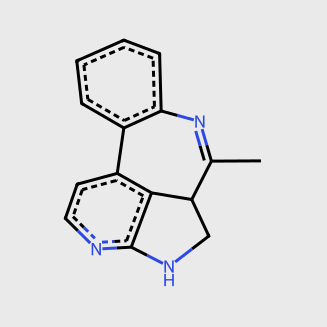 CC1=Nc2ccccc2-c2ccnc3c2C1CN3